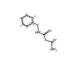 NC(=O)[CH]C(=O)NCc1ccccn1